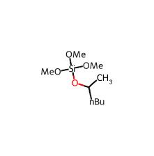 CCCCC(C)O[Si](OC)(OC)OC